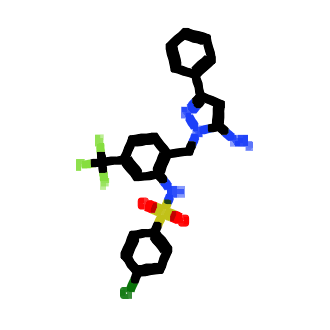 Nc1cc(-c2ccccc2)nn1Cc1ccc(C(F)(F)F)cc1NS(=O)(=O)c1ccc(Cl)cc1